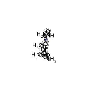 COc1cc(/C=C/C(=O)Nc2ccccc2N)ccc1CNc1cc(OC)c2c(c1)OC(C)O2